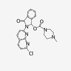 CN1CCN(C(=O)OC2c3ccccc3C(=O)N2c2ccc3ccc(Cl)nc3n2)CC1